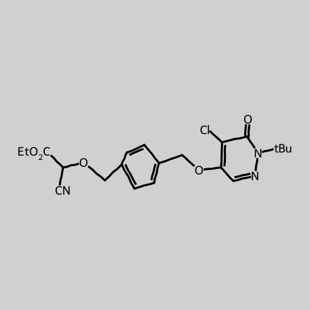 CCOC(=O)C(C#N)OCc1ccc(COc2cnn(C(C)(C)C)c(=O)c2Cl)cc1